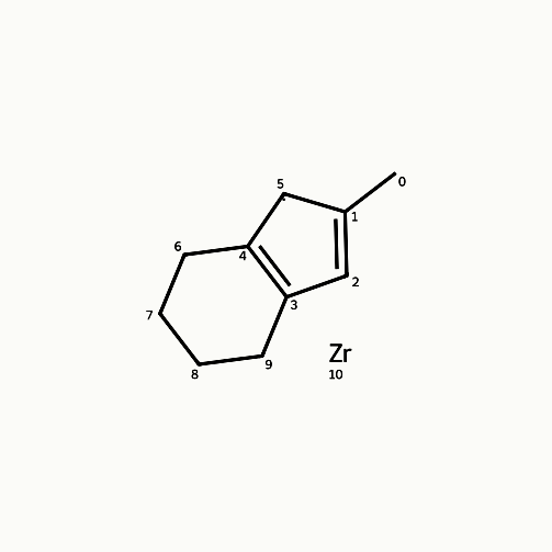 CC1=CC2=C([CH]1)CCCC2.[Zr]